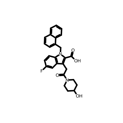 O=C(O)c1c(CC(=O)N2CCC(O)CC2)c2cc(F)ccc2n1Cc1cccc2ccccc12